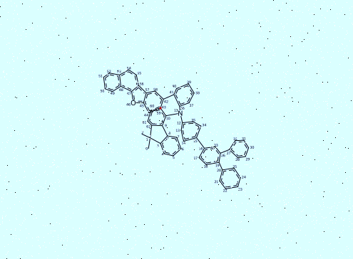 CC1(C)c2ccccc2-c2c(N(c3ccc(-c4ccc(-c5ccccc5)c(-c5ccccc5)c4)cc3)c3ccccc3-c3ccc4oc5c6ccccc6ccc5c4c3)cccc21